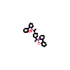 CC(c1ccc(C(C)P2Oc3ccccc3-c3ccccc32)cc1)P1Oc2ccccc2-c2ccccc21